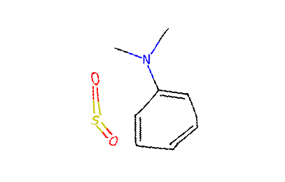 CN(C)c1ccccc1.O=S=O